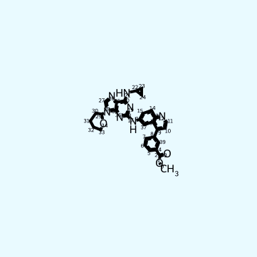 COC(=O)c1cccc(-c2ccnc3ccc(Nc4nc(NC5CC5)c5ncn(C6CCCCO6)c5n4)cc23)c1